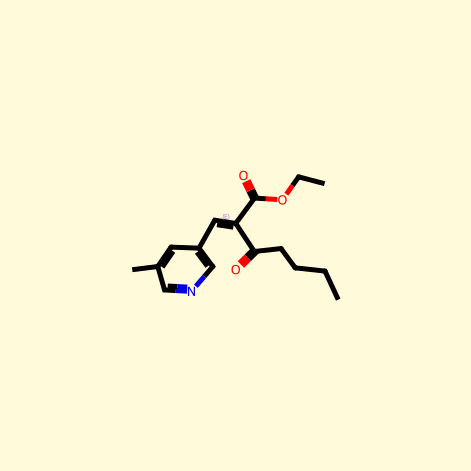 CCCCC(=O)/C(=C\c1cncc(C)c1)C(=O)OCC